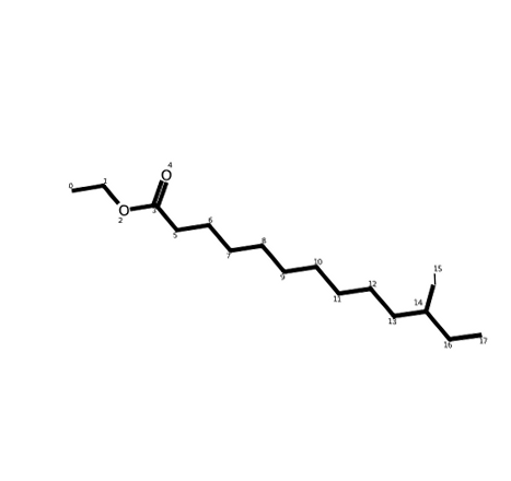 CCOC(=O)CCCCCCCCCC(I)CC